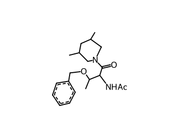 CC(=O)NC(C(=O)N1CC(C)CC(C)C1)C(C)OCc1ccccc1